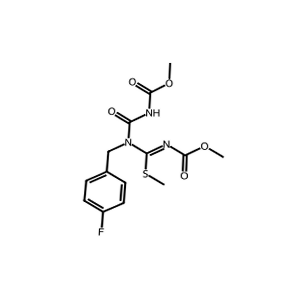 COC(=O)N=C(SC)N(Cc1ccc(F)cc1)C(=O)NC(=O)OC